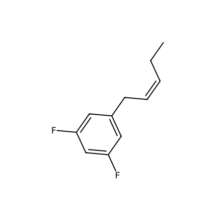 CC/C=C\Cc1cc(F)cc(F)c1